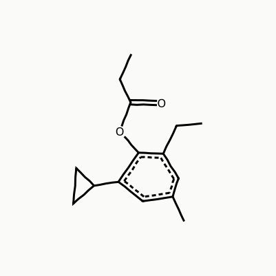 CCC(=O)Oc1c(CC)cc(C)cc1C1CC1